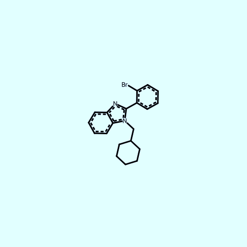 Brc1ccccc1-c1nc2ccccc2n1CC1CCCCC1